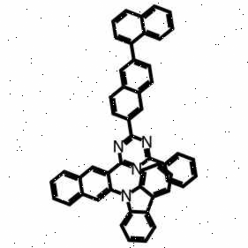 c1ccc(-c2nc(-c3ccc4cc(-c5cccc6ccccc56)ccc4c3)nc(-c3cc4ccccc4cc3-n3c4ccccc4c4ccccc43)n2)cc1